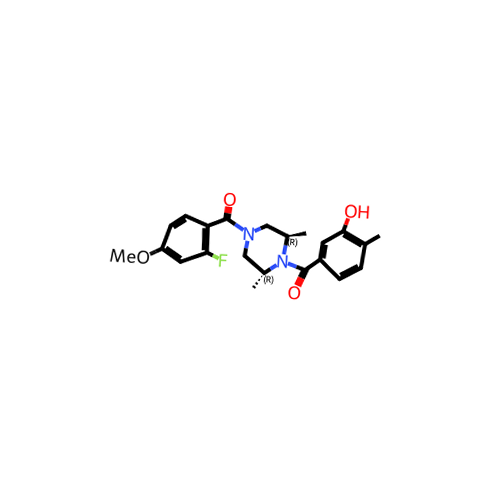 COc1ccc(C(=O)N2C[C@@H](C)N(C(=O)c3ccc(C)c(O)c3)[C@H](C)C2)c(F)c1